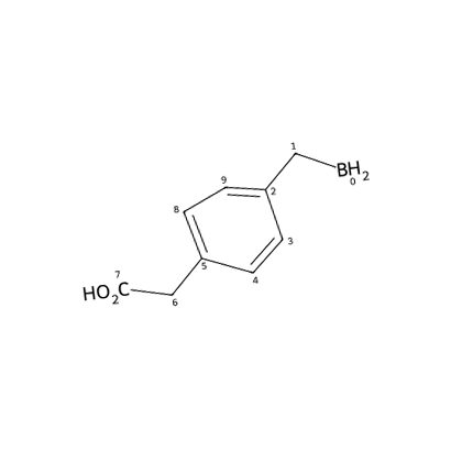 BCc1ccc(CC(=O)O)cc1